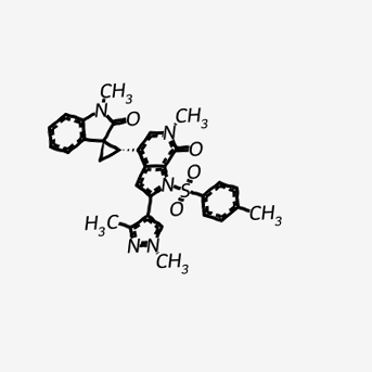 Cc1ccc(S(=O)(=O)n2c(-c3cn(C)nc3C)cc3c([C@@H]4C[C@@]45C(=O)N(C)c4ccccc45)cn(C)c(=O)c32)cc1